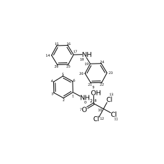 Nc1ccccc1.O=C(O)C(Cl)(Cl)Cl.c1ccc(Nc2ccccc2)cc1